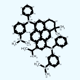 CC(C)c1cc(N(c2ccccc2)c2cccc(N(C)C)c2)c2cc3c4c(cc(N(c5ccccc5)c5cccc(N(C)C)c5)c5ccc1c2c54)CCC3(C)C